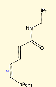 CCCCC/C=C\C=CC(=O)NCC(C)C